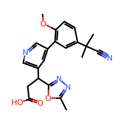 COc1ccc(C(C)(C)C#N)cc1-c1cncc(C(CC(=O)O)c2nnc(C)o2)c1